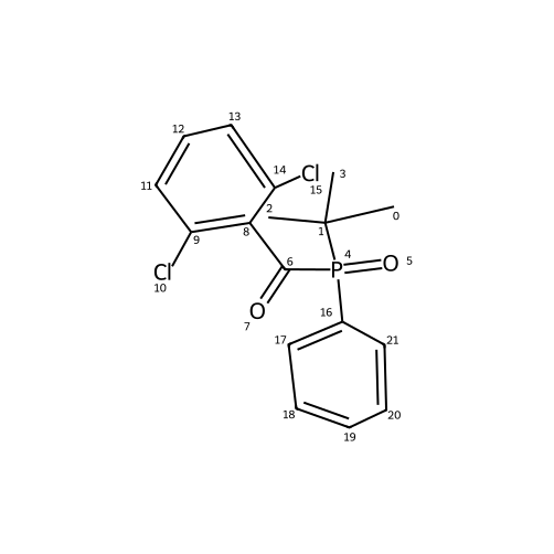 CC(C)(C)P(=O)(C(=O)c1c(Cl)cccc1Cl)c1ccccc1